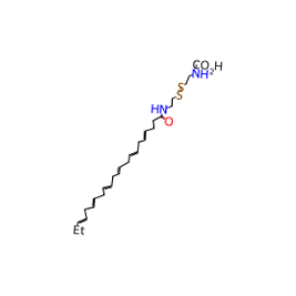 CCC=CCC=CCC=CCC=CCC=CCC=CCCC(=O)NCCSSCCNC(=O)O